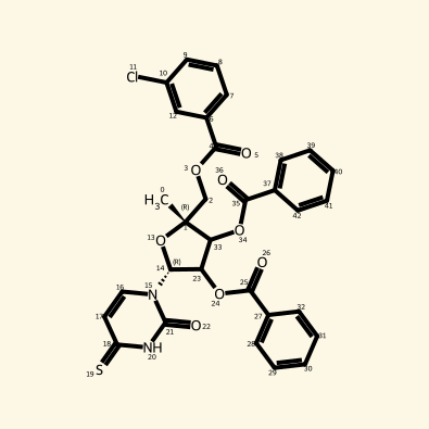 C[C@]1(COC(=O)c2cccc(Cl)c2)O[C@@H](n2ccc(=S)[nH]c2=O)C(OC(=O)c2ccccc2)C1OC(=O)c1ccccc1